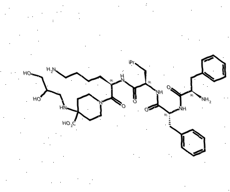 CC(C)C[C@@H](NC(=O)[C@@H](Cc1ccccc1)NC(=O)[C@H](N)Cc1ccccc1)C(=O)N[C@H](CCCCN)C(=O)N1CCC(NCC(O)CO)(C(=O)O)CC1